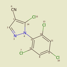 N#Cc1cnn(-c2c(Cl)cc(Cl)cc2Cl)c1Cl